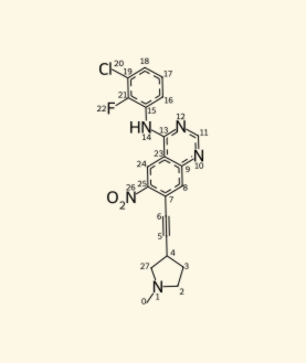 CN1CCC(C#Cc2cc3ncnc(Nc4cccc(Cl)c4F)c3cc2[N+](=O)[O-])C1